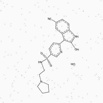 Cl.N#Cc1ccc2[nH]c(O)c(-c3ccc(S(=O)(=O)NCCN4CCCC4)cn3)c2c1